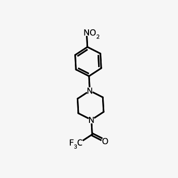 O=C(N1CCN(c2ccc([N+](=O)[O-])cc2)CC1)C(F)(F)F